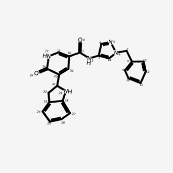 O=C(Nc1cnn(Cc2ccccc2)c1)c1c[nH]c(=O)c(C2Cc3ccccc3N2)c1